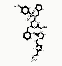 CC[C@H](C)[C@@H](C(=O)N[C@@H](Cc1ccccc1)[C@H](O)CN(CC1CCCC1)S(=O)(=O)c1ccc(OC)cc1)N1CCN(Cc2csc(CNC(=O)O)n2)C1=O